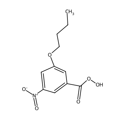 CCCCOc1cc(C(=O)OO)cc([N+](=O)[O-])c1